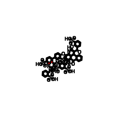 O=C(c1cccc(S(=O)(=O)O)c1)c1c2c3c(c(Nc4cc(Nc5nc(Cl)nc(Nc6ccccc6S(=O)(=O)O)n5)c(S(=O)(=O)O)cc4S(=O)(=O)O)cc(Oc4ccc(-c5ccc(S(=O)(=O)O)cc5)cc4S(=O)(=O)O)c3[nH]c1=O)C(=O)c1ccccc1-2